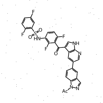 CC(=O)n1ncc2cc(-c3cnc4[nH]cc(C(=O)c5c(F)ccc(NS(=O)(=O)c6cc(F)ccc6F)c5F)c4c3)ccc21